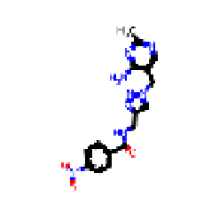 Cc1ncc(Cn2cc(CNC(=O)c3ccc([N+](=O)[O-])cc3)nn2)c(N)n1